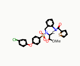 COC(=O)C1CN(C(=O)c2cccs2)c2ccccc2CN1S(=O)(=O)c1ccc(Oc2ccc(Cl)cc2)cc1